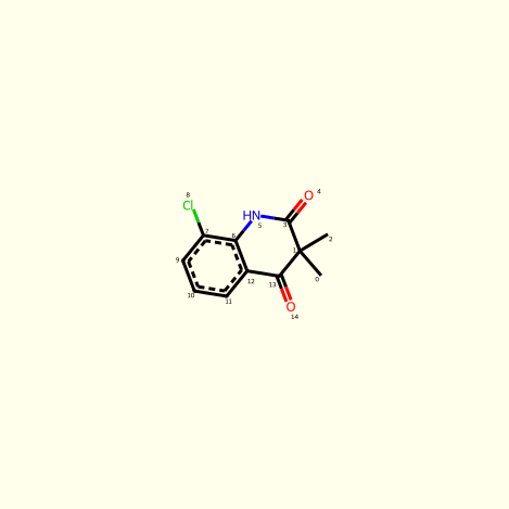 CC1(C)C(=O)Nc2c(Cl)cccc2C1=O